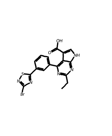 CCc1nc(-c2cccc(-c3nc(Br)ns3)c2)c2c(C(=O)O)c[nH]c2n1